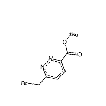 CC(C)(C)OC(=O)c1ccc(CBr)nn1